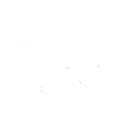 CCCOc1nc(Oc2ccc3c(C)ccnc3c2)c2c(NS(C)(=O)=O)cccc2n1